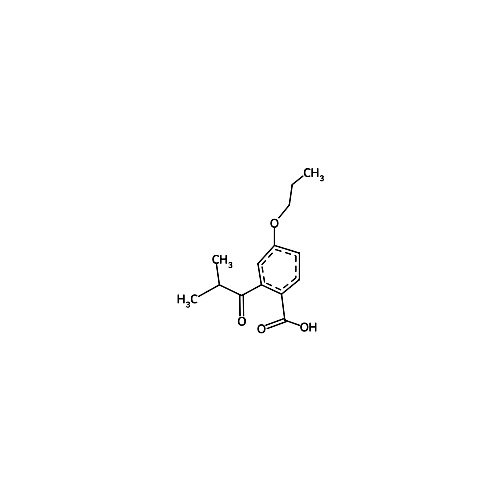 CCCOc1ccc(C(=O)O)c(C(=O)C(C)C)c1